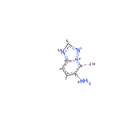 Nc1ccc2ncnn2c1I